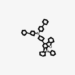 c1ccc(-c2ccc(N(c3ccc(-c4ccccc4)cc3)c3ccc(-c4cc5c6ccccc6n(-c6ccccc6)c5c5oc6ccccc6c45)cc3)cc2)cc1